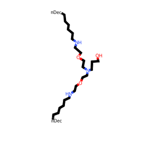 CCCCCCCCCCCCCCCCNCCOCCN(CCCO)CCOCCNCCCCCCCCCCCCCCCC